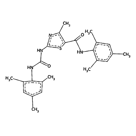 Cc1cc(C)c(NC(=O)Nc2nc(C)c(C(=O)Nc3c(C)cc(C)cc3C)s2)c(C)c1